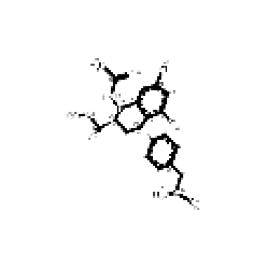 COC(=O)[C@@H]1C[C@@H](c2ccc(CN(C)C)cc2)c2c(Cl)cc(Cl)cc2N1NC(C)=O